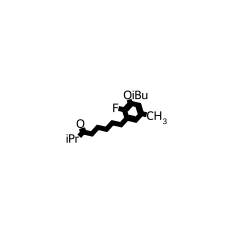 Cc1cc(CCCCCC(=O)C(C)C)c(F)c(OCC(C)C)c1